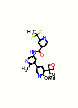 COc1ncc(-c2cc(NC(=O)c3ccnc(C(C)(F)F)c3)cnc2C)cc1C1(C#N)COC1